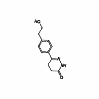 O=C1CCC(c2ccc(CCO)cc2)=NN1